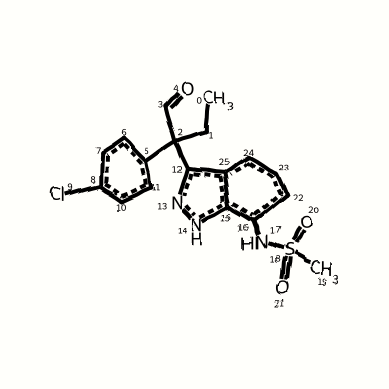 CCC(C=O)(c1ccc(Cl)cc1)c1n[nH]c2c(NS(C)(=O)=O)cccc12